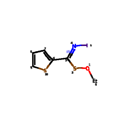 CCOS/C(=N\I)c1cccs1